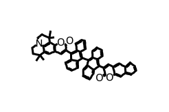 CC1(C)CCN2CCC(C)(C)c3c2c1cc1cc(-c2c4ccccc4c(-c4c5ccccc5c(-c5cc6cc7ccccc7cc6oc5=O)c5ccccc45)c4ccccc24)c(=O)oc31